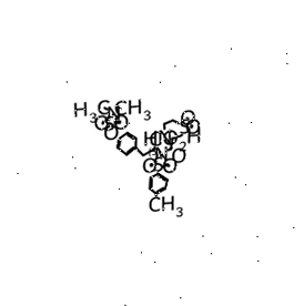 Cc1ccc(S(=O)(=O)N(C(=O)C2CS(=O)(=O)CCN2)[C@@H](Cc2ccc(OS(=O)(=O)N(C)C)cc2)C(=O)O)cc1